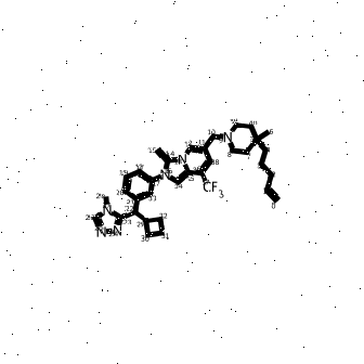 C=CCCCC1(C)CCN(CC2=CN3C(=C)N(c4cccc(C(c5nncn5C)C5CCC5)c4)C=C3C(C(F)(F)F)=C2)CC1